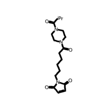 CC(C)C(=O)N1CCN(C(=O)CCCCCN2C(=O)C=CC2=O)CC1